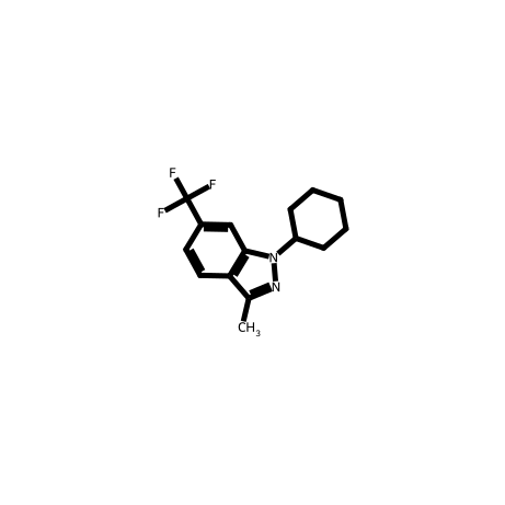 Cc1nn(C2CCCCC2)c2cc(C(F)(F)F)ccc12